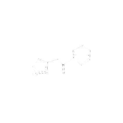 O=C(Cc1c[nH]cn1)c1ccccc1